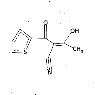 C/C(O)=C(\C#N)C(=O)c1cccs1